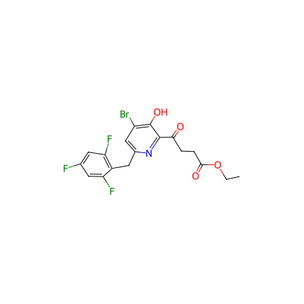 CCOC(=O)CCC(=O)c1nc(Cc2c(F)cc(F)cc2F)cc(Br)c1O